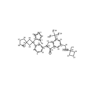 Cn1cnnc1C1(c2cccc(N3Cc4c(cc(CNC5(C)CCC5)cc4C(F)(F)F)C3=O)c2)CC2(CCCO2)C1